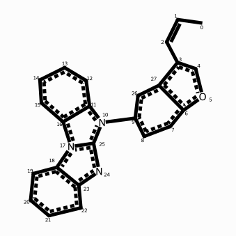 C/C=C\c1coc2ccc(-n3c4ccccc4n4c5ccccc5nc34)cc12